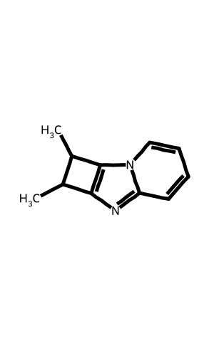 CC1c2nc3ccccn3c2C1C